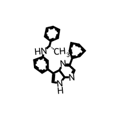 C[C@H](Nc1cccc(C2=CNC3N=CC(c4ccccc4)=NC23)c1)c1ccccc1